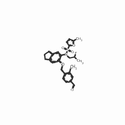 Cc1ccc(S(=O)(=O)N(CC(C)F)c2cc3c(cc2OCc2ccc(C=O)cc2C)CCC3)o1